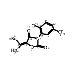 CCCCC(C)=C1OC(=O)N(c2cc(C(F)(F)F)ccc2Cl)C1=O